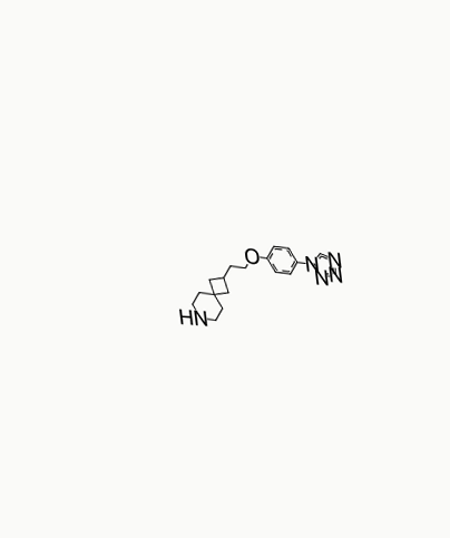 c1cc(-n2cnnn2)ccc1OCCC1CC2(CCNCC2)C1